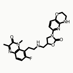 Cc1nc2ccc(F)c(CCNCC3CN(c4ccc5c(n4)NCCO5)C(=O)O3)c2n(C)c1=O